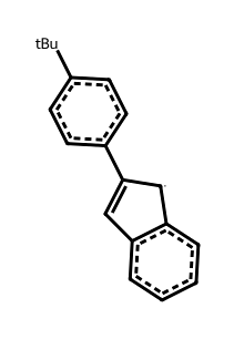 CC(C)(C)c1ccc(C2=Cc3ccccc3[CH]2)cc1